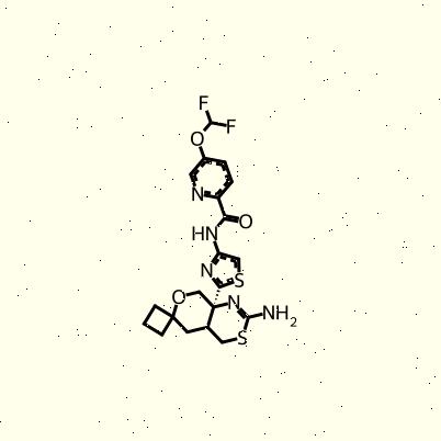 NC1=N[C@]2(c3nc(NC(=O)c4ccc(OC(F)F)cn4)cs3)COC3(CCC3)CC2CS1